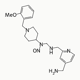 COc1ccccc1CN1CCC(N(CNCc2cc(CN)ccn2)N=O)CC1